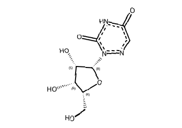 O=c1cnn([C@@H]2O[C@H](CO)[C@H](O)[C@@H]2O)c(=O)[nH]1